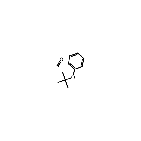 C=O.CC(C)(C)Oc1ccccc1